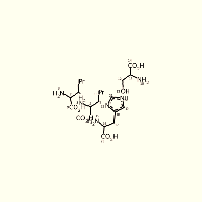 CC(C)CC(N)C(=O)O.CC(C)CC(N)C(=O)O.NC(CO)C(=O)O.NC(Cc1c[nH]cn1)C(=O)O